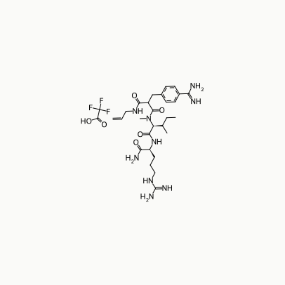 C=CCNC(=O)C(Cc1ccc(C(=N)N)cc1)C(=O)N(C)[C@H](C(=O)N[C@@H](CCCNC(=N)N)C(N)=O)C(C)CC.O=C(O)C(F)(F)F